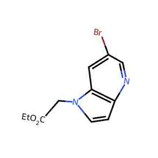 CCOC(=O)Cn1ccc2ncc(Br)cc21